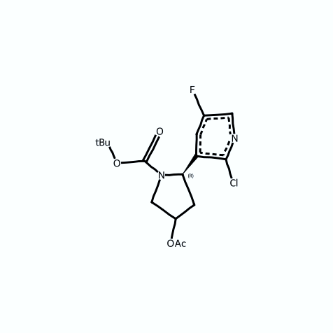 CC(=O)OC1C[C@H](c2cc(F)cnc2Cl)N(C(=O)OC(C)(C)C)C1